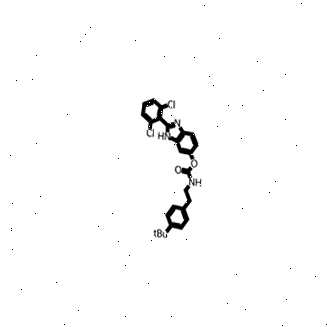 CC(C)(C)c1ccc(CCNC(=O)Oc2ccc3nc(-c4c(Cl)cccc4Cl)[nH]c3c2)cc1